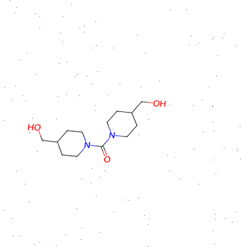 O=C(N1CCC(CO)CC1)N1CCC(CO)CC1